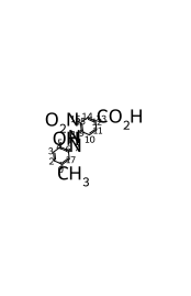 Cc1ccc(O)c(/N=N/c2ccc(C(=O)O)cc2[N+](=O)[O-])c1